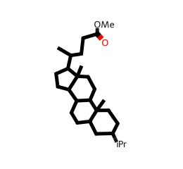 COC(=O)CCC(C)C1CCC2C3CCC4CC(C(C)C)CCC4(C)C3CCC12C